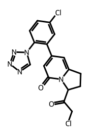 O=C(CCl)C1CCc2cc(-c3cc(Cl)ccc3-n3cnnn3)cc(=O)n21